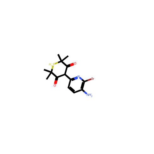 CC1(C)[SH4]C(C)(C)C(=O)C(c2ccc(N)c(Br)n2)C1=O